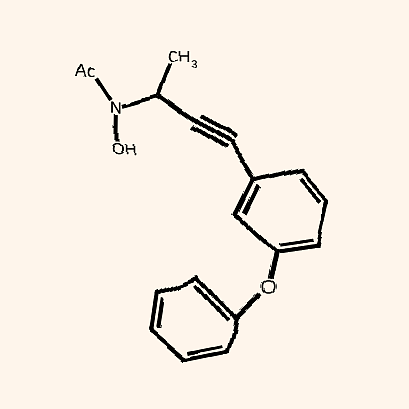 CC(=O)N(O)C(C)C#Cc1cccc(Oc2ccccc2)c1